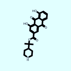 CC(C)(OC(=O)c1cc(O)c2c(c1)C(=O)c1cccc(O)c1C2=O)C1CCNCC1